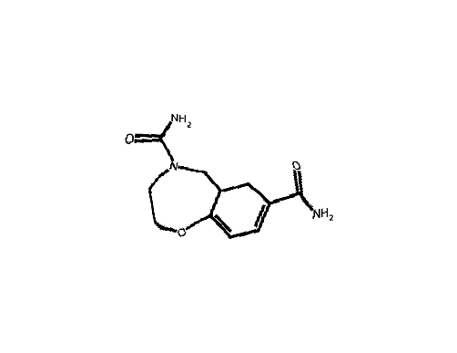 NC(=O)C1=CC=C2OCCN(C(N)=O)CC2C1